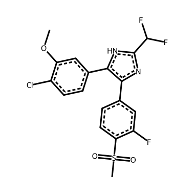 COc1cc(-c2[nH]c(C(F)F)nc2-c2ccc(S(C)(=O)=O)c(F)c2)ccc1Cl